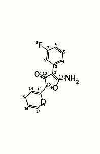 NC1=C(c2cccc(F)c2)C(=O)C(C2=CCC=CO2)O1